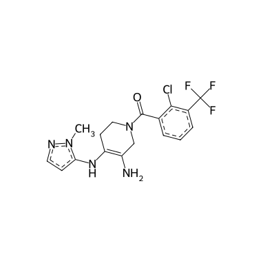 Cn1nccc1NC1=C(N)CN(C(=O)c2cccc(C(F)(F)F)c2Cl)CC1